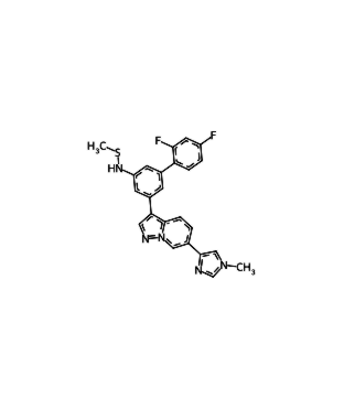 CSNc1cc(-c2ccc(F)cc2F)cc(-c2cnn3cc(-c4cn(C)cn4)ccc23)c1